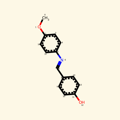 COc1ccc(N=Cc2ccc(O)cc2)cc1